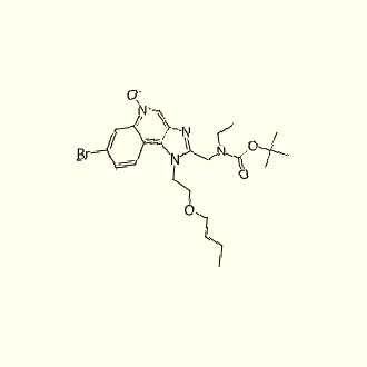 CCCCOCCn1c(CN(CC)C(=O)OC(C)(C)C)nc2c[n+]([O-])c3cc(Br)ccc3c21